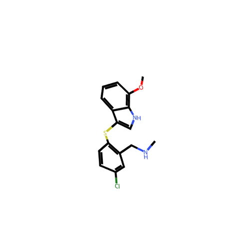 CNCc1cc(Cl)ccc1Sc1c[nH]c2c(OC)cccc12